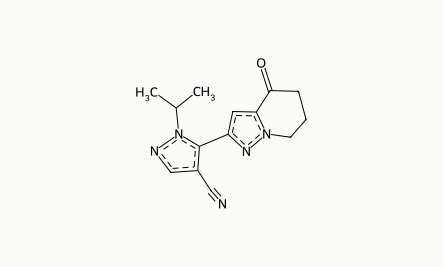 CC(C)n1ncc(C#N)c1-c1cc2n(n1)CCCC2=O